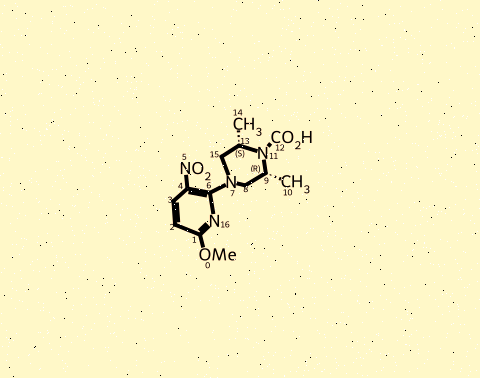 COc1ccc([N+](=O)[O-])c(N2C[C@@H](C)N(C(=O)O)[C@@H](C)C2)n1